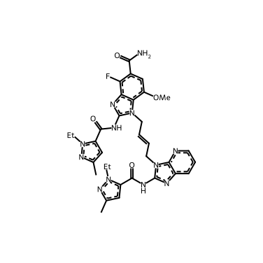 CCn1nc(C)cc1C(=O)Nc1nc2cccnc2n1C/C=C/Cn1c(NC(=O)c2cc(C)nn2CC)nc2c(F)c(C(N)=O)cc(OC)c21